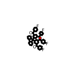 O=C(c1ccc(F)cc1)c1cc(C(=O)c2ccc(F)cc2)cc(C2(c3cc(C(=O)c4ccc(F)cc4)cc(C(=O)c4ccc(F)cc4)c3)c3ccccc3-c3ccccc32)c1